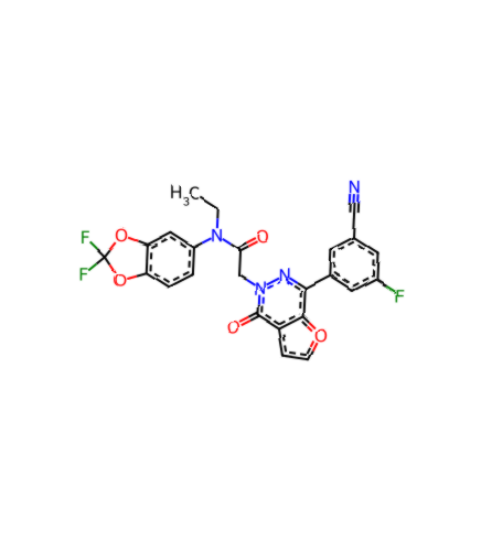 CCN(C(=O)Cn1nc(-c2cc(F)cc(C#N)c2)c2occc2c1=O)c1ccc2c(c1)OC(F)(F)O2